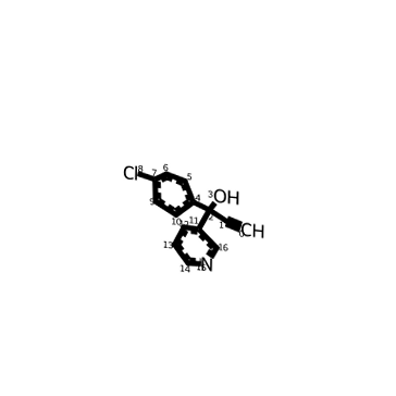 C#CC(O)(c1ccc(Cl)cc1)c1cccnc1